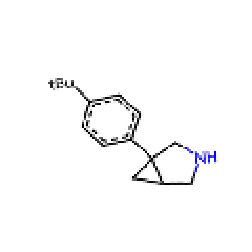 CC(C)(C)c1ccc(C23CNCC2C3)cc1